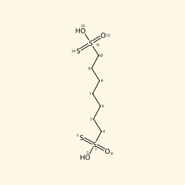 O=S(O)(=S)CCCCCCCS(=O)(O)=S